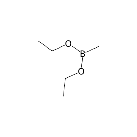 CCOB(C)OCC